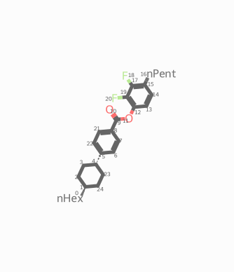 CCCCCC[C@H]1CC[C@H](c2ccc(C(=O)Oc3ccc(CCCCC)c(F)c3F)cc2)CC1